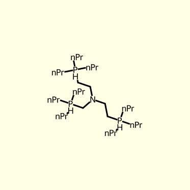 CCC[PH](CCC)(CCC)CCN(CC[PH](CCC)(CCC)CCC)C[PH](CCC)(CCC)CCC